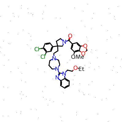 CCOCCn1c(N2CCCN(CCC3(c4ccc(Cl)c(Cl)c4)CCN(C(=O)c4cc(OC)c5c(c4)OCO5)C3)CC2)nc2ccccc21